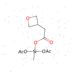 CC(=O)O[Si](C)(OC(C)=O)OC(=O)CC1COC1